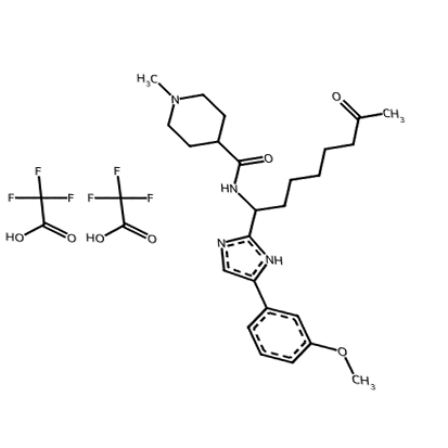 COc1cccc(-c2cnc(C(CCCCCC(C)=O)NC(=O)C3CCN(C)CC3)[nH]2)c1.O=C(O)C(F)(F)F.O=C(O)C(F)(F)F